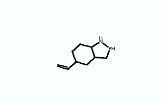 C=CC1CCC2NPCC2C1